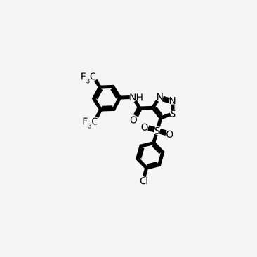 O=C(Nc1cc(C(F)(F)F)cc(C(F)(F)F)c1)c1nnsc1S(=O)(=O)c1ccc(Cl)cc1